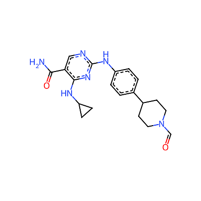 NC(=O)c1cnc(Nc2ccc(C3CCN(C=O)CC3)cc2)nc1NC1CC1